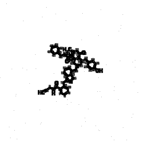 C#CCNC(=O)c1ccccc1Cn1ncc2c(CN3C[C@H](Cc4ccc(O)cc4)N4C(=O)CN(C)N(C(=O)NCc5ccccc5)[C@H]4C3)cccc21